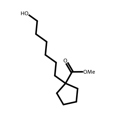 COC(=O)C1(CCCCCCO)CCCC1